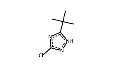 CC(C)(C)c1nc(Cl)n[nH]1